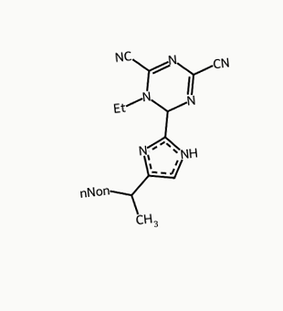 CCCCCCCCCC(C)c1c[nH]c(C2N=C(C#N)N=C(C#N)N2CC)n1